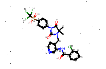 CC1(C)C(=O)N(c2ccc(S(=O)(=O)C(F)(F)F)cc2)C(=O)N1Cc1ccncc1NC(=O)c1ccccc1Cl